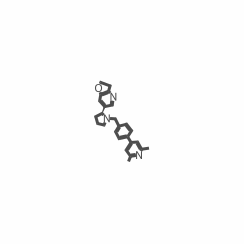 Cc1cc(-c2ccc(CN3CCC[C@H]3c3cnc4c(c3)OCC4)cc2)cc(C)n1